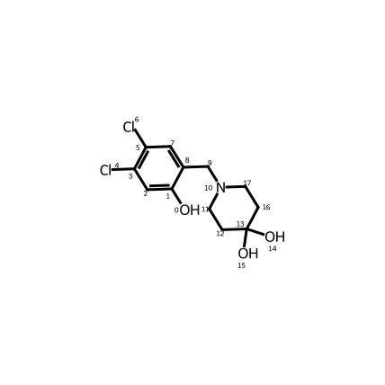 Oc1cc(Cl)c(Cl)cc1CN1CCC(O)(O)CC1